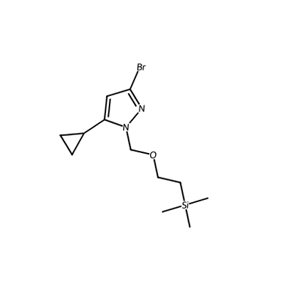 C[Si](C)(C)CCOCn1nc(Br)cc1C1CC1